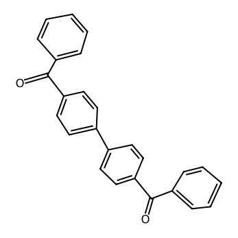 O=C(c1ccccc1)c1ccc(-c2ccc(C(=O)c3ccccc3)cc2)cc1